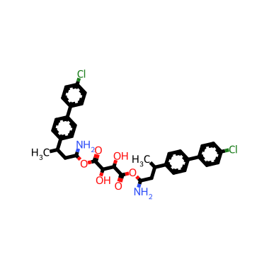 CC(CC(N)OC(=O)C(O)C(O)C(=O)OC(N)CC(C)c1ccc(-c2ccc(Cl)cc2)cc1)c1ccc(-c2ccc(Cl)cc2)cc1